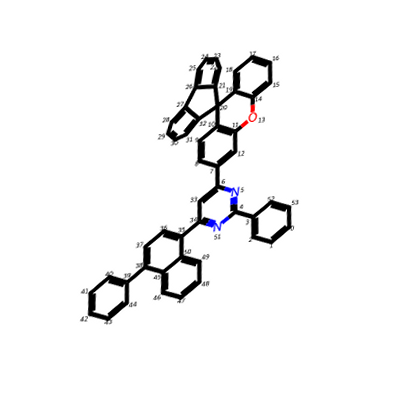 c1ccc(-c2nc(-c3ccc4c(c3)Oc3ccccc3C43c4ccccc4-c4ccccc43)cc(-c3ccc(-c4ccccc4)c4ccccc34)n2)cc1